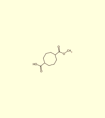 COC(=O)C1CCCC(C(=O)O)CCC1